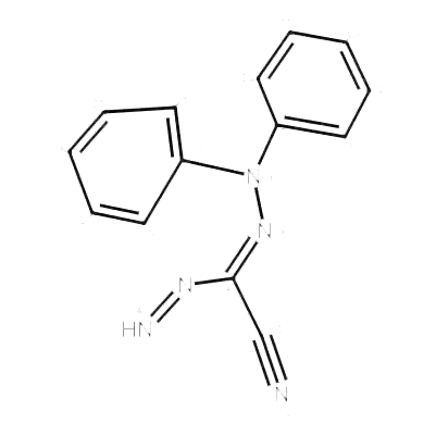 N#CC(N=N)=NN(c1ccccc1)c1ccccc1